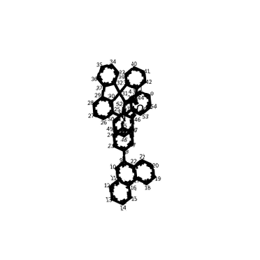 c1ccc(N(c2ccc(-c3cc4ccccc4c4ccccc34)cc2)c2cccc3c2C2(c4ccccc4-3)c3ccccc3-c3oc4ccccc4c32)cc1